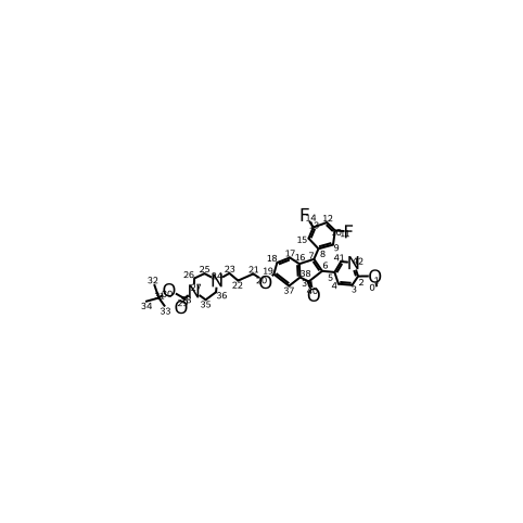 COc1ccc(C2=C(c3cc(F)cc(F)c3)c3ccc(OCCCN4CCN(C(=O)OC(C)(C)C)CC4)cc3C2=O)cn1